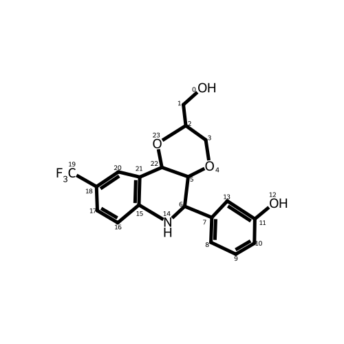 OCC1COC2C(c3cccc(O)c3)Nc3ccc(C(F)(F)F)cc3C2O1